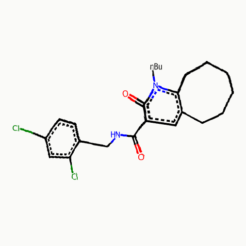 CCCCn1c2c(cc(C(=O)NCc3ccc(Cl)cc3Cl)c1=O)CCCCCC2